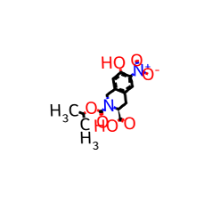 CC(C)OC(=O)N1Cc2cc(O)c([N+](=O)[O-])cc2C[C@H]1C(=O)O